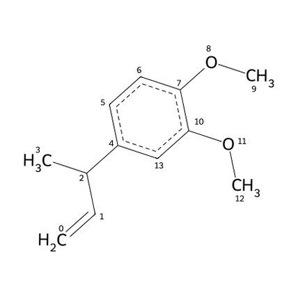 C=CC(C)c1ccc(OC)c(OC)c1